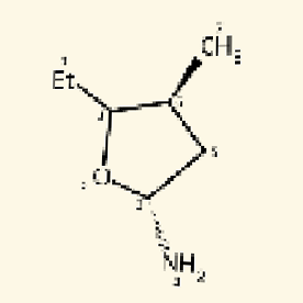 CCC1O[C@@H](N)C[C@@H]1C